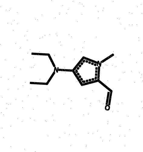 CCN(CC)c1cc(C=O)n(C)c1